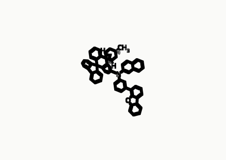 C[C@@H]1C[C@H]2CCC[C@@H](C1)C21c2ccccc2C2(c3ccccc3-c3ccccc32)c2ccc(N(c3cccc(-c4cccc5c4oc4ccccc45)c3)c3ccc4ccccc4c3)cc21